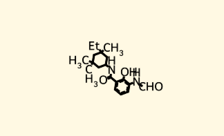 CCC1(C)CC(NC(=O)c2cccc(NC=O)c2O)CC(C)(C)C1